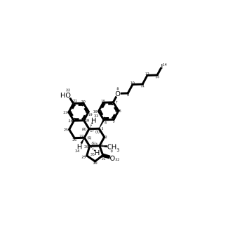 C[C@]12C[C@H](c3ccc(OCCCCCI)cc3)[C@@H]3c4ccc(O)cc4CC[C@H]3[C@@H]1CCC2=O